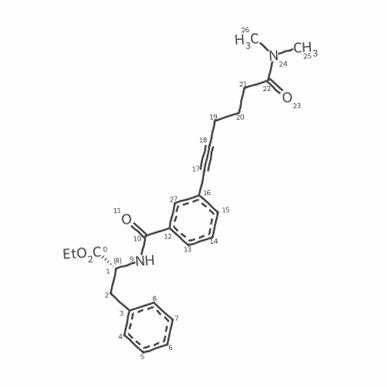 CCOC(=O)[C@@H](Cc1ccccc1)NC(=O)c1cccc(C#CCCCC(=O)N(C)C)c1